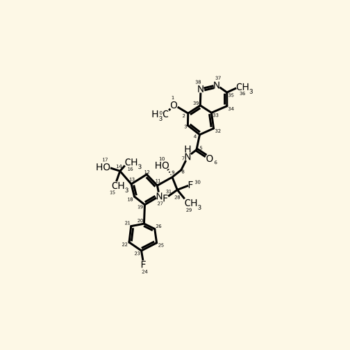 COc1cc(C(=O)NC[C@](O)(c2cc(C(C)(C)O)cc(-c3ccc(F)cc3)n2)C(C)(F)F)cc2cc(C)nnc12